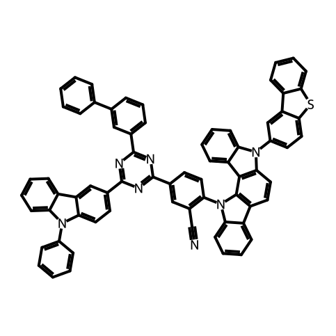 N#Cc1cc(-c2nc(-c3cccc(-c4ccccc4)c3)nc(-c3ccc4c(c3)c3ccccc3n4-c3ccccc3)n2)ccc1-n1c2ccccc2c2ccc3c(c4ccccc4n3-c3ccc4sc5ccccc5c4c3)c21